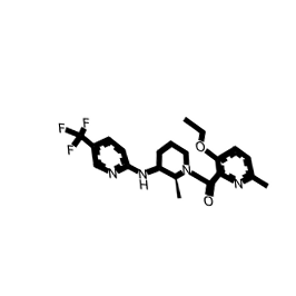 CCOc1ccc(C)nc1C(=O)N1CCCC(Nc2ccc(C(F)(F)F)cn2)[C@@H]1C